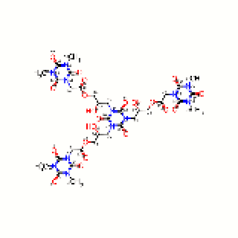 Cn1c(=O)n(C)c(=O)n(CC(=O)OCC(O)Cn2c(=O)n(CC(O)COC(=O)Cn3c(=O)n(C)c(=O)n(C)c3=O)c(=O)n(CC(O)COC(=O)Cn3c(=O)n(C)c(=O)n(C)c3=O)c2=O)c1=O